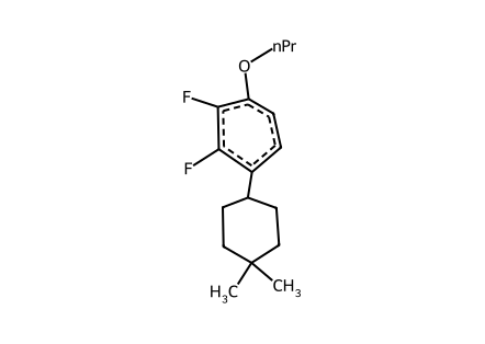 CCCOc1ccc(C2CCC(C)(C)CC2)c(F)c1F